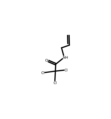 C=CCNC(=O)C(Cl)(Cl)Cl